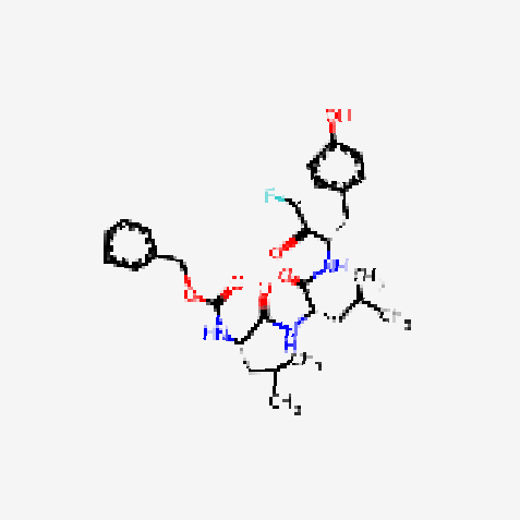 CC(C)C[C@H](NC(=O)OCc1ccccc1)C(=O)N[C@@H](CC(C)C)C(=O)N[C@@H](Cc1ccc(O)cc1)C(=O)[CH]F